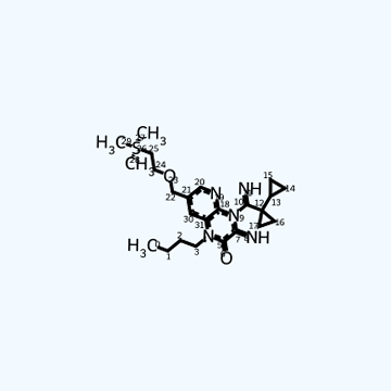 CCCCn1c(=O)c(=N)n(C(=N)C2(C3CC3)CC2)c2ncc(COCCS(C)(C)C)cc21